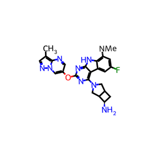 CNc1cc(F)cc2c1[nH]c1nc(Oc3cnc4c(C)cnn4c3)nc(N3CC4C[C@@H](N)C4C3)c12